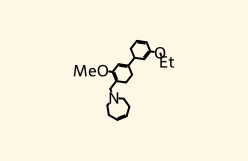 CCOC1=CC(C2=CC(OC)=C(CN3CCC=CCC3)CC2)CC=C1